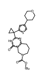 CC(C)(C)OC(=O)N1CCCc2nc(C3(c4cc(C5CCOCC5)cs4)CC3)[nH]c(=O)c2C1